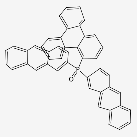 O=P(c1ccc2cc3ccccc3cc2c1)(c1ccc2cc3ccccc3cc2c1)c1cccc2c3ccccc3c3ccccc3c12